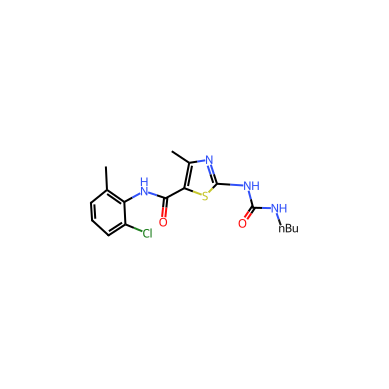 CCCCNC(=O)Nc1nc(C)c(C(=O)Nc2c(C)cccc2Cl)s1